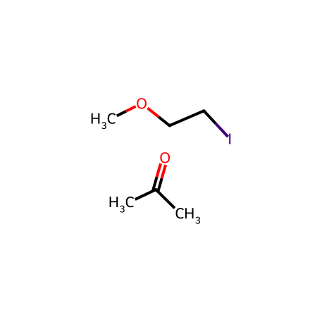 CC(C)=O.COCCI